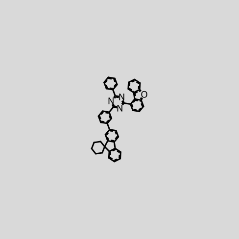 c1ccc(-c2nc(-c3cccc(-c4ccc5c(c4)C4(CCCCC4)c4ccccc4-5)c3)nc(-c3cccc4oc5ccccc5c34)n2)cc1